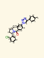 Cc1ccc(-c2cn(-c3ccc(C(=O)N4[C@@H](c5ccccc5Cl)CC[C@H]4C(=O)O)cc3)nn2)cc1